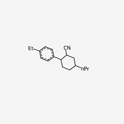 CCCC1CCC(c2ccc(CC)cc2)C(C#N)C1